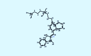 CN(C)CCC[N+](C)(C)CCC[n+]1ccc(/C=C2\Sc3ccccc3N2C)c2ccccc21